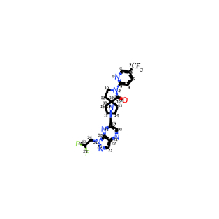 O=C1N(c2ccc(C(F)(F)F)cn2)CCC12C1CCC2CN(c2cnc3cnn(CC(F)F)c3n2)C1